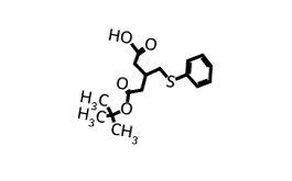 CC(C)(C)OC(=O)CC(CSc1ccccc1)CC(=O)O